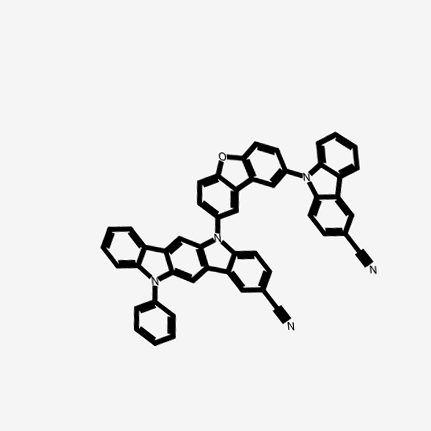 N#Cc1ccc2c(c1)c1ccccc1n2-c1ccc2oc3ccc(-n4c5ccc(C#N)cc5c5cc6c(cc54)c4ccccc4n6-c4ccccc4)cc3c2c1